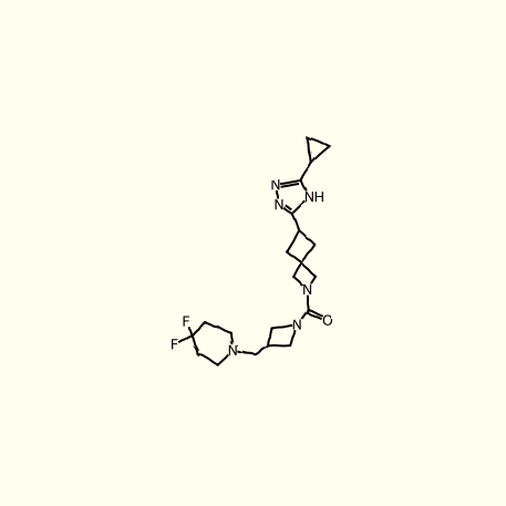 O=C(N1CC(CN2CCC(F)(F)CC2)C1)N1CC2(CC(c3nnc(C4CC4)[nH]3)C2)C1